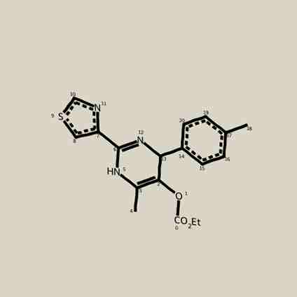 CCOC(=O)OC1=C(C)NC(c2cscn2)=NC1c1ccc(C)cc1